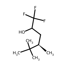 C[C@H](CC(O)C(F)(F)F)C(C)(C)C